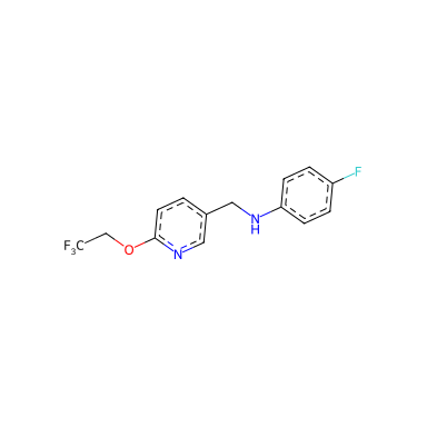 Fc1ccc(NCc2ccc(OCC(F)(F)F)nc2)cc1